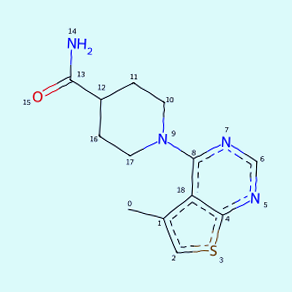 Cc1csc2ncnc(N3CCC(C(N)=O)CC3)c12